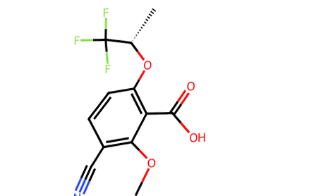 COc1c(C#N)ccc(O[C@@H](C)C(F)(F)F)c1C(=O)O